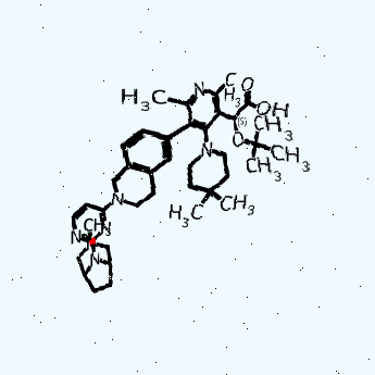 Cc1nc(C)c([C@H](OC(C)(C)C)C(=O)O)c(N2CCC(C)(C)CC2)c1-c1ccc2c(c1)CCN(c1ccnc(N3C4CCC3CN(C)C4)n1)C2